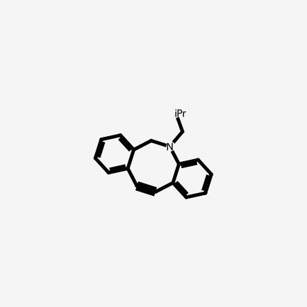 CC(C)CN1Cc2ccccc2C#Cc2ccccc21